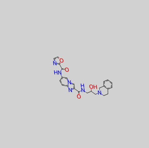 O=C(NCC(O)CN1CCc2ccccc2C1)c1cn2cc(NC(=O)c3ncco3)ccc2n1